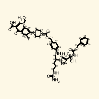 CCn1cc(C(=O)O)c(=O)c2cc(F)c(N3CCN(C(=O)OCc4ccc(NCC(CCCNC(N)=O)n5cc(C(C)(C)NC(=O)OCc6ccccc6)nn5)cc4)CC3)cc21